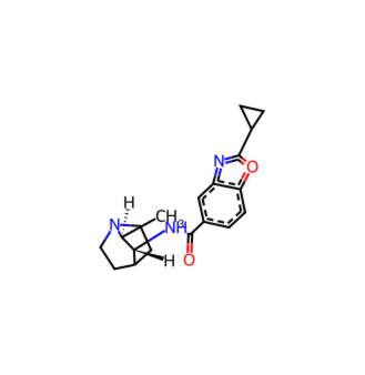 C[C@H]1[C@H](NC(=O)c2ccc3oc(C4CC4)nc3c2)C2CCN1CC2